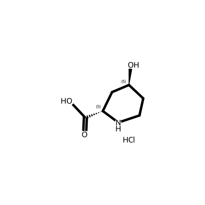 Cl.O=C(O)[C@@H]1C[C@@H](O)CCN1